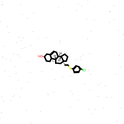 C[C@]12CC[C@H](O)CC1=CC[C@H]1[C@@H]3CCC[C@@]3(CCSc3ccc(Cl)cc3)CC[C@@H]12